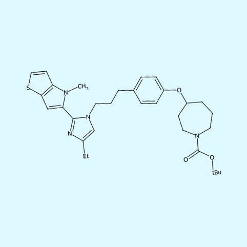 CCc1cn(CCCc2ccc(OC3CCCN(C(=O)OC(C)(C)C)CC3)cc2)c(-c2cc3sccc3n2C)n1